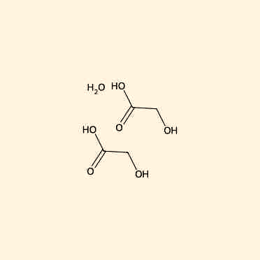 O.O=C(O)CO.O=C(O)CO